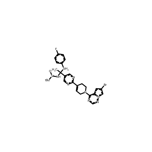 CC(N[S+]([O-])C(C)(C)C)([SiH2]c1ccc(F)cc1)c1cnc(C2=CCN(c3ncnn4cc(Br)cc34)CC2)nc1